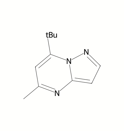 Cc1cc(C(C)(C)C)n2nccc2n1